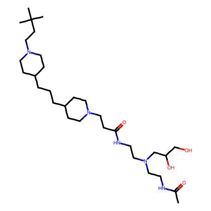 CC(=O)NCCN(CCNC(=O)CCN1CCC(CCCC2CCN(CCC(C)(C)C)CC2)CC1)CC(O)CO